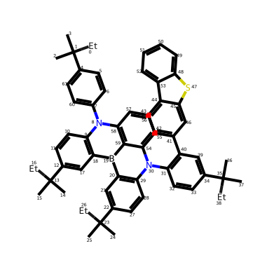 CCC(C)(C)c1ccc(N2c3ccc(C(C)(C)CC)cc3B3c4cc(C(C)(C)CC)ccc4N(c4ccc(C(C)(C)CC)cc4-c4ccc5c(c4)sc4ccccc45)c4cccc2c43)cc1